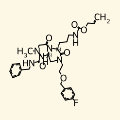 C=CCOC(=O)NCCC[C@H]1C(=O)N(CCOCc2ccc(F)cc2)C[C@H]2N1C(=O)CN(C)N2C(=O)NCc1ccccc1